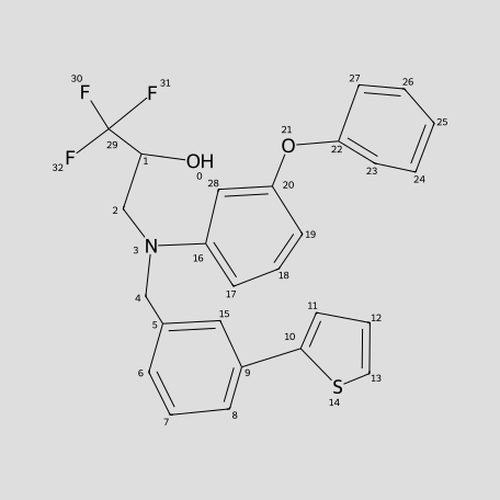 OC(CN(Cc1cccc(-c2cccs2)c1)c1cccc(Oc2ccccc2)c1)C(F)(F)F